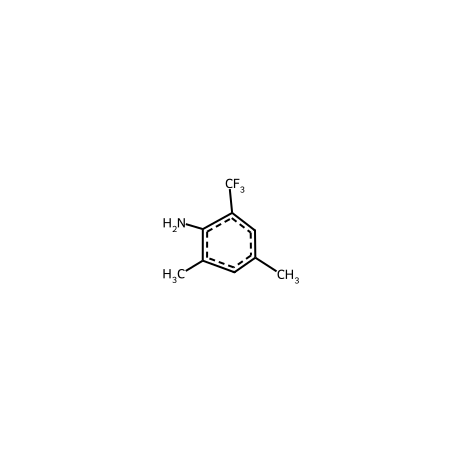 Cc1cc(C)c(N)c(C(F)(F)F)c1